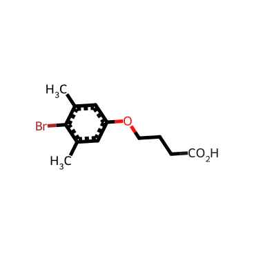 Cc1cc(OCCCC(=O)O)cc(C)c1Br